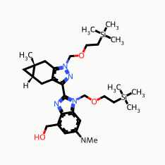 CNc1cc(CO)c2nc(-c3nn(COCC[Si](C)(C)C)c4c3C[C@@H]3C[C@]3(C)C4)n(COCC[Si](C)(C)C)c2c1